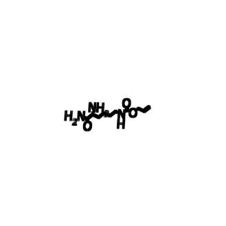 C=CCOC(=O)NCCCC[C@H](N)C(N)=O